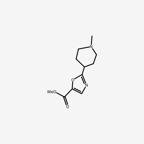 COC(=O)c1cnc(C2CCN(C)CC2)o1